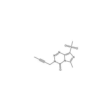 CC#CCn1nnc2c(S(C)(=O)=O)nc(C)n2c1=O